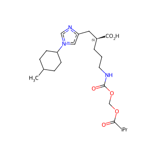 CC1CCC(n2cnc(C[C@H](CCCNC(=O)OCOC(=O)C(C)C)C(=O)O)c2)CC1